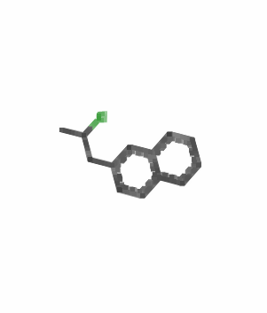 CC(Cl)Cc1ccc2ccccc2c1